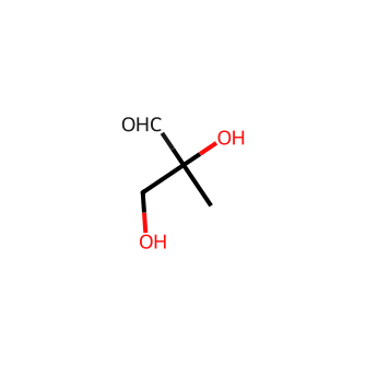 CC(O)(C=O)CO